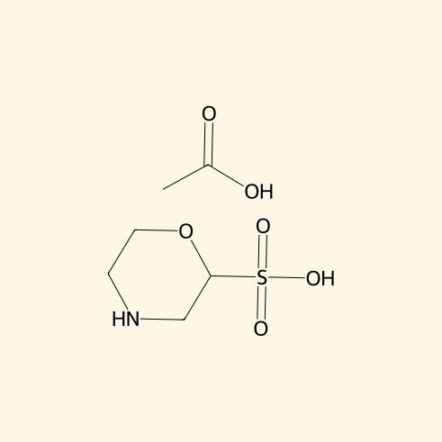 CC(=O)O.O=S(=O)(O)C1CNCCO1